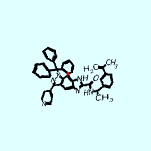 C=C(C)c1cccc([C@@H](C)NC(=O)c2nc3cc4c(-c5ccncc5)nn(C(c5ccccc5)(c5ccccc5)c5ccccc5)c4cc3[nH]2)c1